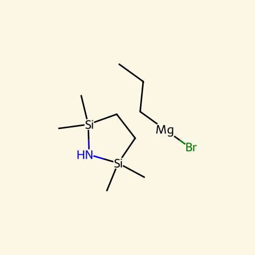 CC[CH2][Mg][Br].C[Si]1(C)CC[Si](C)(C)N1